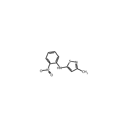 Cc1cc(Nc2ccccc2[N+](=O)[O-])sn1